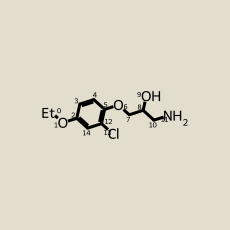 CCOc1ccc(OCC(O)CN)c(Cl)c1